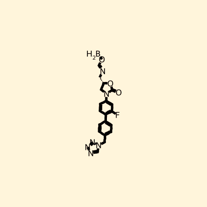 BOC=NC[C@H]1CN(c2ccc(-c3ccc(Cn4cnnn4)cc3)c(F)c2)C(=O)O1